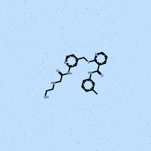 Cc1cccc(NC(=O)c2cccnc2SCc2ccnc(NC(=O)CNCCO)c2)c1